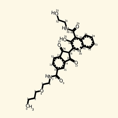 CCCCOCCNC(=O)c1ccc2c(c1)C(=O)C(c1nc3ccccc3c(C(=O)NCCO)c1O)C2=O